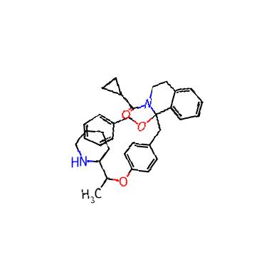 CC(Oc1ccc(CC2(OCc3ccccc3)c3ccccc3CCN2C(=O)C2CC2)cc1)C1CCCCN1